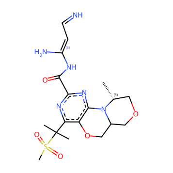 C[C@@H]1COCC2COc3c(nc(C(=O)N/C(N)=C/C=N)nc3C(C)(C)S(C)(=O)=O)N21